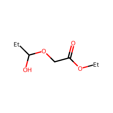 CCOC(=O)COC(O)CC